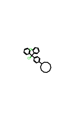 Clc1ccccc1C(Cl)(c1ccccc1)c1ccc(C2CCCCCCCCC2)cc1